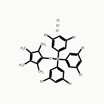 CCc1cc(CC)cc([Si]([Ti+3][C]2=C(C)C(C)=C(C)C2C)(c2cc(CC)cc(CC)c2)c2cc(CC)cc(CC)c2)c1.[Cl-].[Cl-].[Cl-]